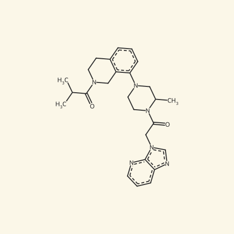 CC(C)C(=O)N1CCc2cccc(N3CCN(C(=O)Cn4cnc5cccnc54)C(C)C3)c2C1